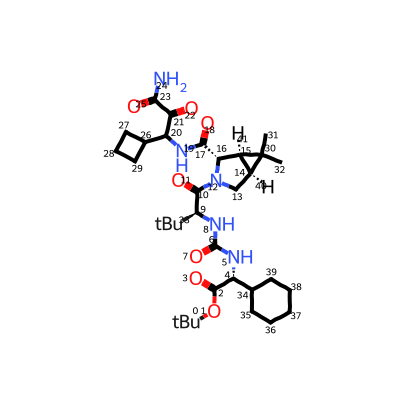 CC(C)(C)OC(=O)[C@H](NC(=O)N[C@H](C(=O)N1C[C@H]2[C@@H]([C@H]1C(=O)NC(C(=O)C(N)=O)C1CCC1)C2(C)C)C(C)(C)C)C1CCCCC1